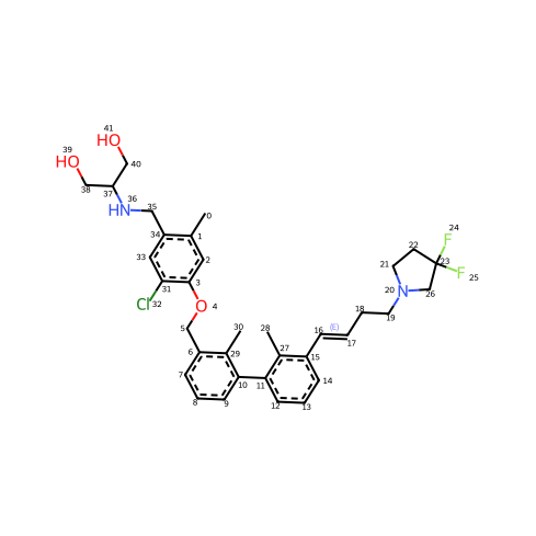 Cc1cc(OCc2cccc(-c3cccc(/C=C/CCN4CCC(F)(F)C4)c3C)c2C)c(Cl)cc1CNC(CO)CO